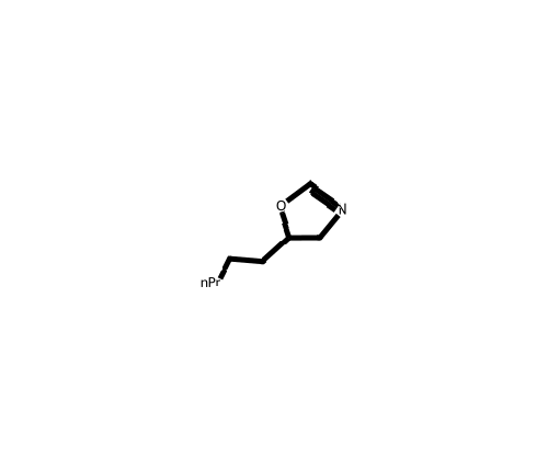 CCCCCC1CN=[C]O1